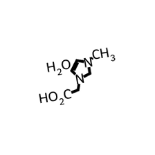 CN1C=CN(CC(=O)O)C1.O